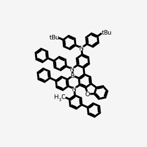 Cc1ccc(-c2ccccc2)cc1N1c2ccc(-c3ccccc3)cc2B2c3c(cc4c(oc5ccccc54)c31)-c1ccc(N(c3ccc(C(C)(C)C)cc3)c3ccc(C(C)(C)C)cc3)cc1N2c1ccc(-c2ccccc2)cc1